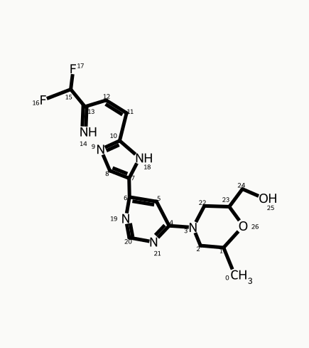 CC1CN(c2cc(-c3cnc(/C=C\C(=N)C(F)F)[nH]3)ncn2)CC(CO)O1